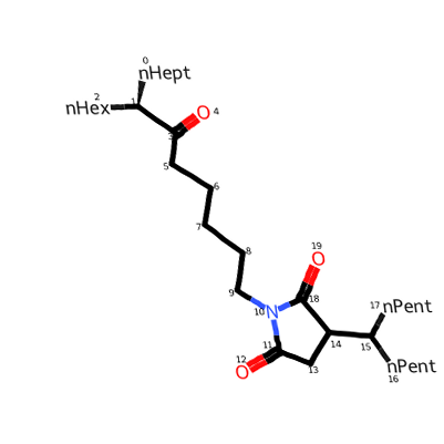 CCCCCCC[C@H](CCCCCC)C(=O)CCCCCN1C(=O)CC(C(CCCCC)CCCCC)C1=O